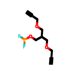 C#CCOCC(COCC#C)COP(F)F